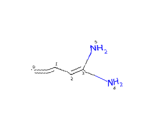 [CH]=CC=C(N)N